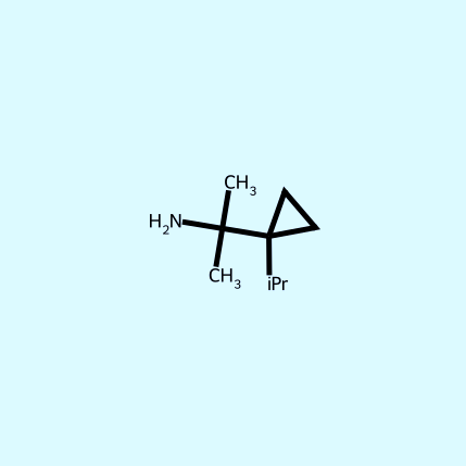 CC(C)C1(C(C)(C)N)CC1